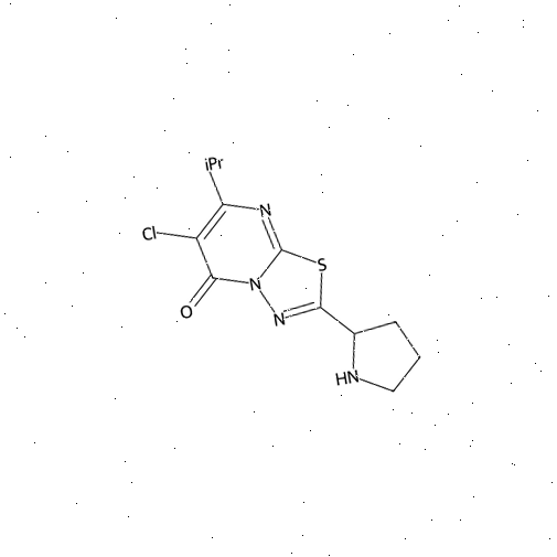 CC(C)c1nc2sc(C3CCCN3)nn2c(=O)c1Cl